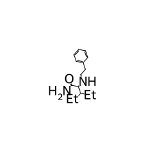 CCC(CC)[C@H](NCCc1ccccc1)C(N)=O